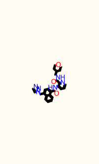 O=C(NCC1CCOCC1)c1ncccc1NC(=O)c1ccc(Cn2ccnn2)c2ccccc12